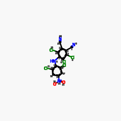 N#Cc1c(Cl)c(Cl)c(Nc2c(Cl)cc([N+](=O)[O-])cc2Cl)c(Cl)c1C#N